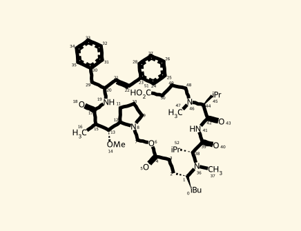 CC[C@H](C)[C@H](CCC(=O)OCN1CCCC1[C@H](OC)C(C)C(=O)NC(/C=C/c1ccccc1)Cc1ccccc1)N(C)[C@@H](C(=O)NC(=O)[C@H](C(C)C)N(C)CCCC(=O)O)C(C)C